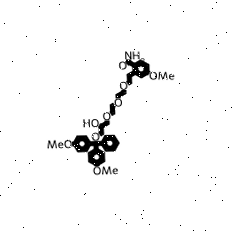 COc1ccc(C(OCC(O)COCCOCCOCCc2cc(OC)ccc2C(N)=O)(c2ccccc2)c2ccc(OC)cc2)cc1